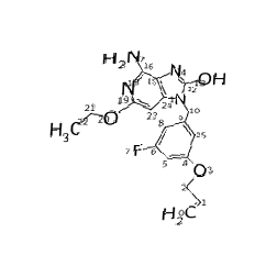 C=CCOc1cc(F)cc(Cn2c(O)nc3c(N)nc(OCC)cc32)c1